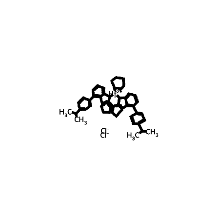 CC(C)c1ccc(-c2cccc3c2C=C(C2CCCC2)[CH]3[Hf+2]2([CH]3C(C4CCCC4)=Cc4c(-c5ccc(C(C)C)cc5)cccc43)[CH]3CCCC[CH]32)cc1.[Cl-].[Cl-]